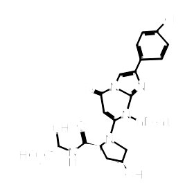 CCCCCn1c(N2C[C@@H](O)C[C@H]2C(=O)N[C@@H](C)C(=O)O)cc(=O)n2cc(-c3ccc(Cl)cc3)nc12